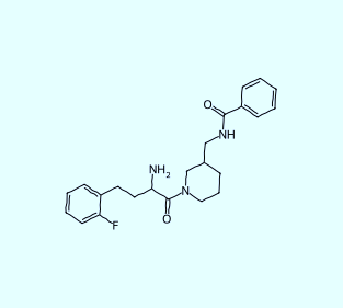 NC(CCc1ccccc1F)C(=O)N1CCCC(CNC(=O)c2ccccc2)C1